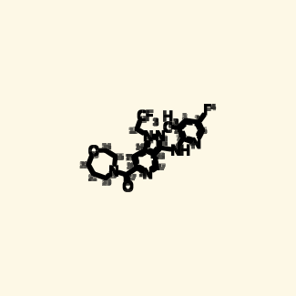 Cc1cc(F)cnc1Nc1nn(CC(F)(F)F)c2cc(C(=O)N3CCCOCC3)ncc12